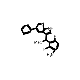 COC(c1c(F)ccc(N)c1F)c1c[nH]c2ncc(-c3ccccc3)cc12